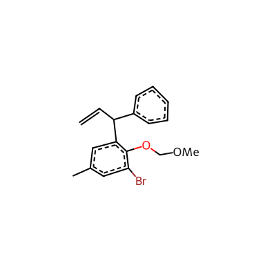 C=CC(c1ccccc1)c1cc(C)cc(Br)c1OCOC